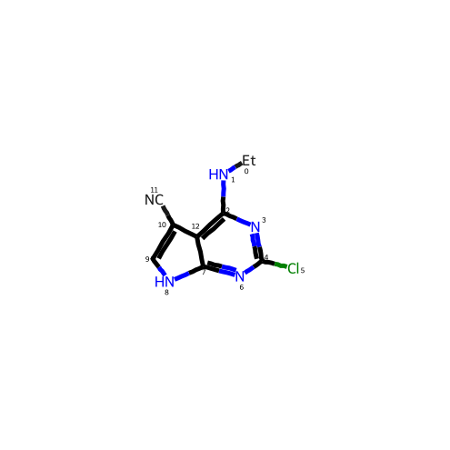 CCNc1nc(Cl)nc2[nH]cc(C#N)c12